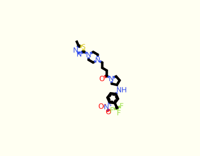 Cc1nnc(N2CCN(CCCC(=O)N3CC[C@H](Nc4ccc([N+](=O)[O-])c(C(F)(F)F)c4)C3)CC2)s1